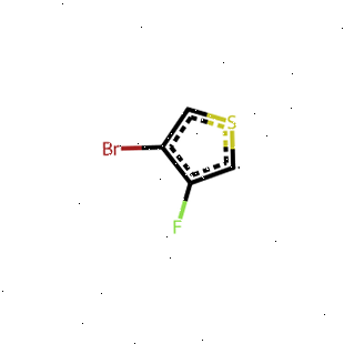 Fc1[c]scc1Br